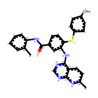 COc1ccc(Sc2ccc(C(=O)Nc3ccccc3C)cc2Nc2ncnc3nc(C)ccc23)cc1